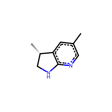 Cc1cnc2c(c1)[C@@H](C)CN2